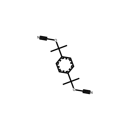 CC(C)(OC#N)c1ccc(C(C)(C)OC#N)cc1